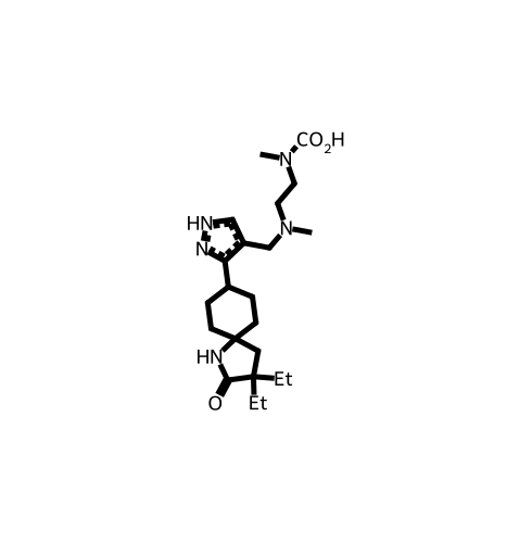 CCC1(CC)CC2(CCC(c3n[nH]cc3CN(C)CCN(C)C(=O)O)CC2)NC1=O